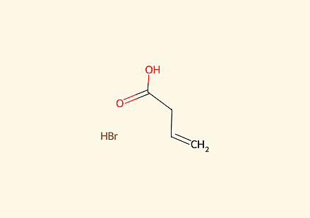 Br.C=CCC(=O)O